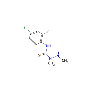 CNN(C)C(=S)Nc1ccc(Br)cc1Cl